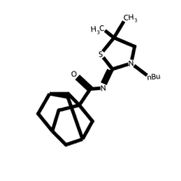 CCCCN1CC(C)(C)S/C1=N\C(=O)C12CC3CC(CC(C3)C1)C2